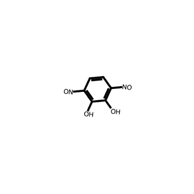 O=Nc1ccc(N=O)c(O)c1O